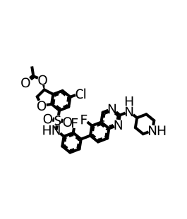 CC(=O)O[C@@H]1COc2c1cc(Cl)cc2S(=O)(=O)Nc1cccc(-c2ccc3nc(NC4CCNCC4)ncc3c2F)c1F